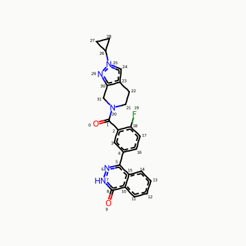 O=C(c1cc(-c2n[nH]c(=O)c3ccccc23)ccc1F)N1CCc2cn(C3CC3)nc2C1